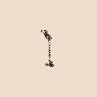 CCO[Si](CCCCCCCCCCCCCCCCCCCCOC(=O)C(F)(F)C(F)(F)C(F)(F)C(F)(F)C(F)(F)C(F)(F)F)(OCC)OCC